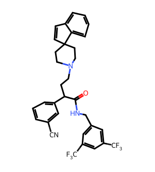 N#Cc1cccc(C(CCN2CCC3(C=Cc4ccccc43)CC2)C(=O)NCc2cc(C(F)(F)F)cc(C(F)(F)F)c2)c1